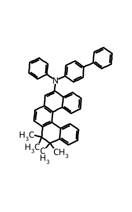 CC1(C)c2ccccc2-c2c(ccc3cc(N(c4ccccc4)c4ccc(-c5ccccc5)cc4)c4ccccc4c23)C1(C)C